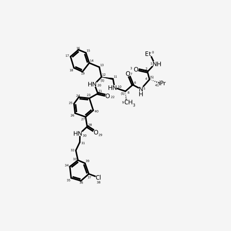 CCNC(=O)[C@@H](NC(=O)[C@H](C)NC[C@H](Cc1ccccc1)NC(=O)c1cccc(C(=O)NCCc2cccc(Cl)c2)c1)C(C)C